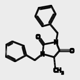 CC1C(=O)N(Cc2ccccc2)C(=O)N1Cc1ccccc1